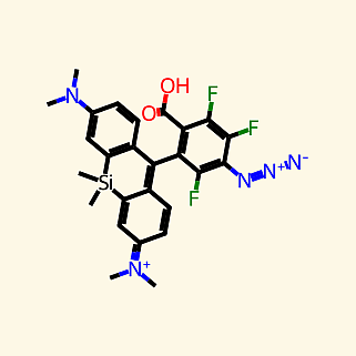 CN(C)c1ccc2c(c1)[Si](C)(C)C1=CC(=[N+](C)C)C=CC1=C2c1c(F)c(N=[N+]=[N-])c(F)c(F)c1C(=O)O